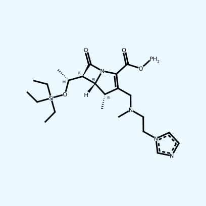 CC[Si](CC)(CC)O[C@H](C)[C@H]1C(=O)N2C(C(=O)OP)=C(CN(C)CCn3ccnc3)[C@H](C)[C@H]12